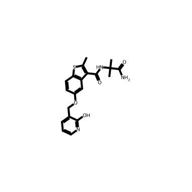 Cc1sc2ccc(OCc3cccnc3O)cc2c1C(=O)NC(C)(C)C(N)=O